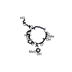 CO[C@@H]1C[C@H](C[C@@H](C)[C@@H]2CC(=O)[C@H](C)/C=C(\C)[C@@H](O)[C@@H](OC)C(=O)[C@H](C)C[C@H](C)/C=C/C=C/C=C(\C)[C@@H](OC(C)(C)CCOC(C)(C)CCO)C[C@@H]3CC[C@@H](C)[C@@](O)(O3)C(=O)C(=O)N3CCCC[C@H]3C(=O)O2)CC[C@H]1O